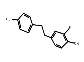 Cc1ccc(CCc2ccc(O)c(F)c2)cc1